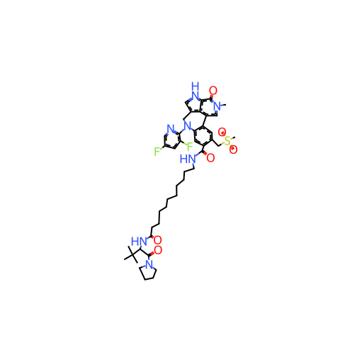 Cn1cc2c3c(c[nH]c3c1=O)CN(c1ncc(F)cc1F)c1cc(C(=O)NCCCCCCCCCCC(=O)NC(C(=O)N3CCCC3)C(C)(C)C)c(CS(C)(=O)=O)cc1-2